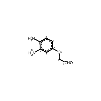 Nc1ccc(OCC=O)cc1N